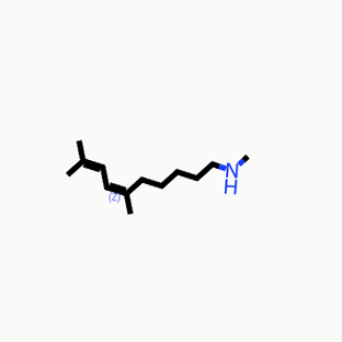 CNCCCCC/C(C)=C\C=C(C)C